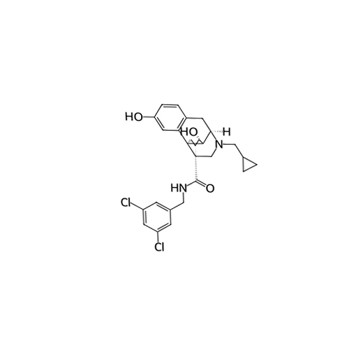 O=C(NCc1cc(Cl)cc(Cl)c1)[C@@H]1C[C@]23CCN(CC4CC4)[C@H](Cc4ccc(O)cc42)[C@]3(O)C1